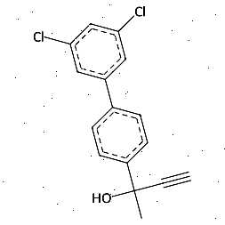 C#CC(C)(O)c1ccc(-c2cc(Cl)cc(Cl)c2)cc1